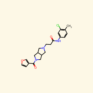 Cc1ccc(NC(=O)CCN2CC3CN(C(=O)c4ccoc4)CC3C2)cc1Cl